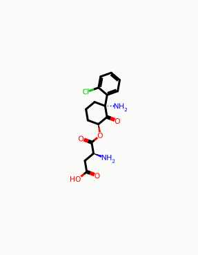 N[C@@H](CC(=O)O)C(=O)O[C@H]1CCC[C@@](N)(c2ccccc2Cl)C1=O